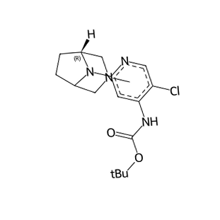 CN1CC2CC[C@H](C1)N2c1cc(NC(=O)OC(C)(C)C)c(Cl)cn1